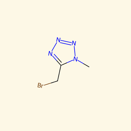 Cn1nnnc1CBr